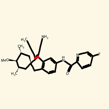 CO[C@H]1[C@H](C)C[C@@]2(Cc3ccc(NC(=O)c4ccc(F)cn4)cc3[C@@]23N=C(C)C(N)=N3)C[C@@H]1C